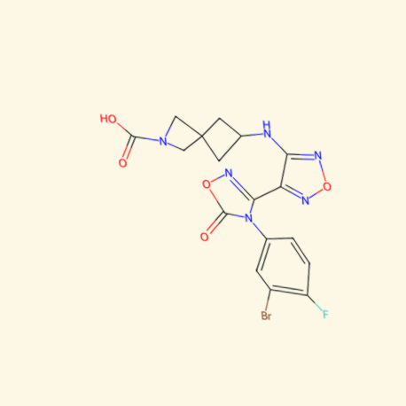 O=C(O)N1CC2(CC(Nc3nonc3-c3noc(=O)n3-c3ccc(F)c(Br)c3)C2)C1